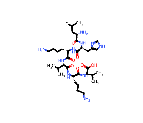 CC(C)C[C@H](N)C(=O)N[C@@H](Cc1c[nH]cn1)C(=O)N[C@@H](CCCCN)C(=O)N[C@H](C(=O)N[C@@H](CCCCN)C(=O)N[C@H](C(=O)O)C(C)C)C(C)C